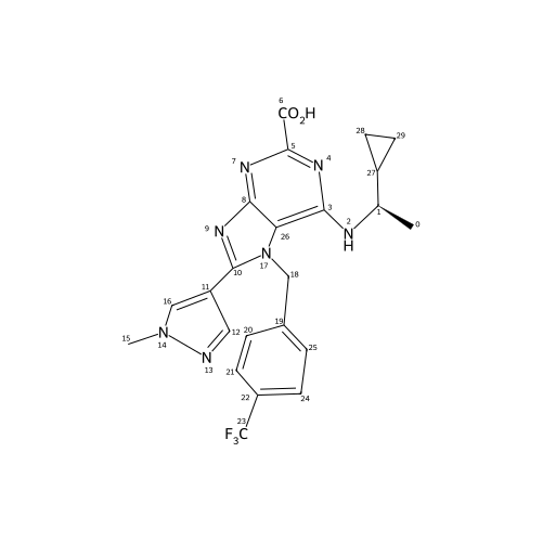 C[C@@H](Nc1nc(C(=O)O)nc2nc(-c3cnn(C)c3)n(Cc3ccc(C(F)(F)F)cc3)c12)C1CC1